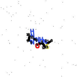 Cc1nc(C(=O)Nc2ncc[nH]2)cs1